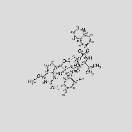 COc1nc(N)nc2c1ncn2C1O[C@H](COP(=O)(N[C@H](C(=O)OCc2ccc(F)cc2F)C(C)C)Oc2ccc3ncccc3c2)[C@@H](C)[C@@]1(C)O